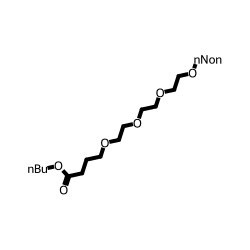 CCCCCCCCCOCCOCCOCCOCCCC(=O)OCCCC